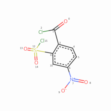 O=C(Cl)c1ccc([N+](=O)[O-])cc1S(=O)(=O)Cl